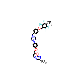 O=[N+]([O-])c1cn2c(n1)OC(COc1ccc(N3CCN(Cc4ccc(OCc5c(F)c(F)c(C(F)(F)F)c(F)c5F)cc4)CC3)cc1)CC2